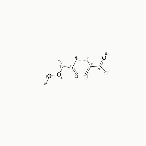 COOC(C)c1ccc(C(C)=O)cc1